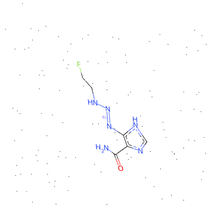 NC(=O)c1nc[nH]c1/N=N/NCCF